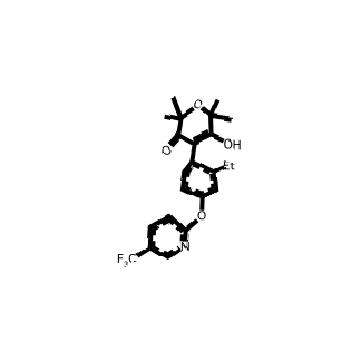 CCc1cc(Oc2ccc(C(F)(F)F)cn2)ccc1C1=C(O)C(C)(C)OC(C)(C)C1=O